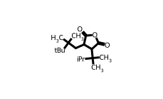 CC(C)C(C)(C)C1C(=O)OC(=O)C1CC(C)(C)C(C)(C)C